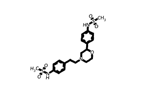 CS(=O)(=O)Nc1ccc(CCN2CCOC(c3ccc(NS(C)(=O)=O)cc3)C2)cc1